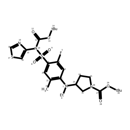 CCN(c1cc(F)c(S(=O)(=O)N(C(=O)OC(C)(C)C)c2cscn2)cc1C)C1CCN(C(=O)OC(C)(C)C)C1